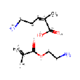 C=C(C)C(=O)OCCN.CC(=CCCN)C(=O)O